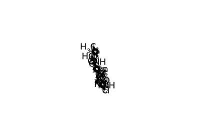 Cc1ccc(C[C@@H](NC(=O)c2ccc(N(Cc3cnc4cc(Cl)[nH]c(=O)c4n3)C(=O)C(F)(F)F)cc2)C(=O)O)cc1